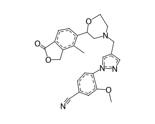 COc1cc(C#N)ccc1-n1cc(CN2CCOC(c3ccc4c(c3C)COC4=O)C2)cn1